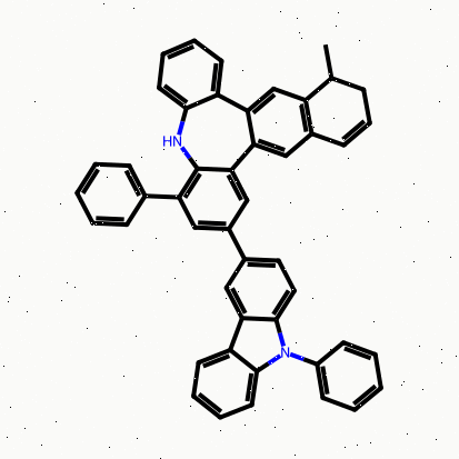 CC1CC=Cc2cc3c(cc21)-c1ccccc1Nc1c(-c2ccccc2)cc(-c2ccc4c(c2)c2ccccc2n4-c2ccccc2)cc1-3